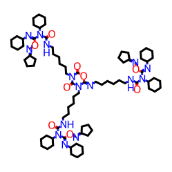 O=C(NCCCCCC/N=c1\oc(=O)n(CCCCCCNC(=O)N(/C(=N/C2CCCCC2)ON=C2CCCC2)C2CCCCC2)c(=O)n1CCCCCCNC(=O)N(/C(=N/C1CCCCC1)ON=C1CCCC1)C1CCCCC1)N(/C(=N/C1CCCCC1)ON=C1CCCC1)C1CCCCC1